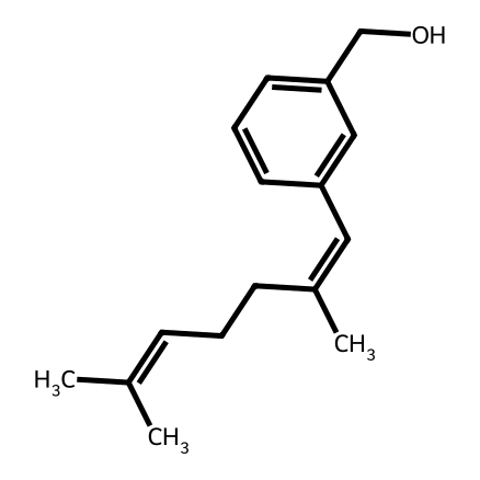 CC(C)=CCCC(C)=Cc1cccc(CO)c1